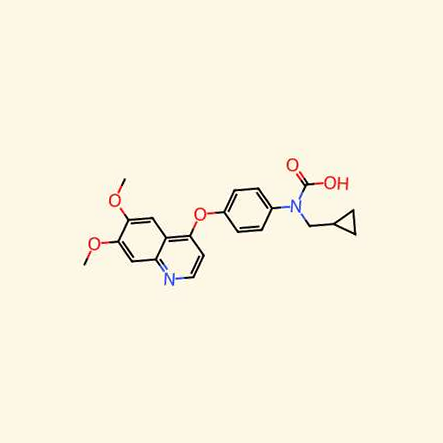 COc1cc2nccc(Oc3ccc(N(CC4CC4)C(=O)O)cc3)c2cc1OC